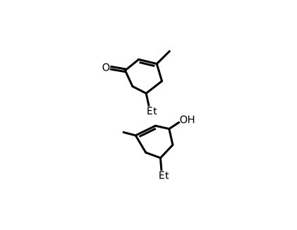 CCC1CC(=O)C=C(C)C1.CCC1CC(C)=CC(O)C1